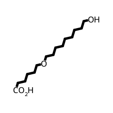 O=C(O)CCCCCOCCCCCCCCCO